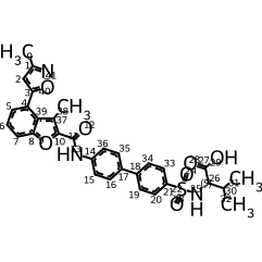 Cc1cc(-c2cccc3oc(C(=O)Nc4ccc(-c5ccc(S(=O)(=O)N[C@H](C(=O)O)C(C)C)cc5)cc4)c(C)c23)on1